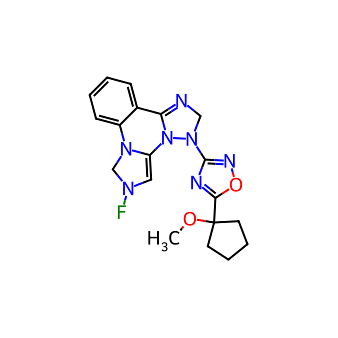 COC1(c2nc(N3CN=C4c5ccccc5N5CN(F)C=C5N43)no2)CCCC1